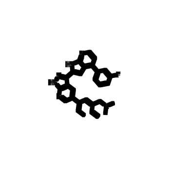 C=C/C(=C\C(=C/C)c1cnc2[nH]nc(-c3cc4c(-c5cccc(F)c5)ccnc4[nH]3)c2c1)CN(C)C